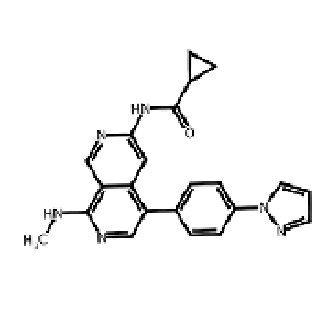 CNc1ncc(-c2ccc(-n3cccn3)cc2)c2cc(NC(=O)C3CC3)ncc12